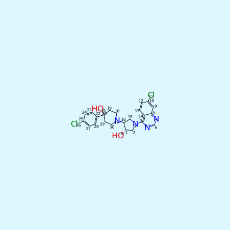 O[C@H]1CN(c2ncnc3cc(Cl)ccc23)C[C@@H]1N1CCC(O)(c2ccc(Cl)cc2)CC1